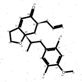 C=CC[C@H]1C[C@]2(C(C)Cc3cc(F)c(OC)cc3F)OCCC2=CC1=O